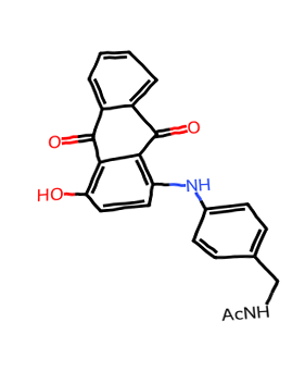 CC(=O)NCc1ccc(Nc2ccc(O)c3c2C(=O)c2ccccc2C3=O)cc1